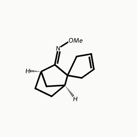 CO/N=C1/[C@@H]2CC[C@@H](C2)C12CC=CC2